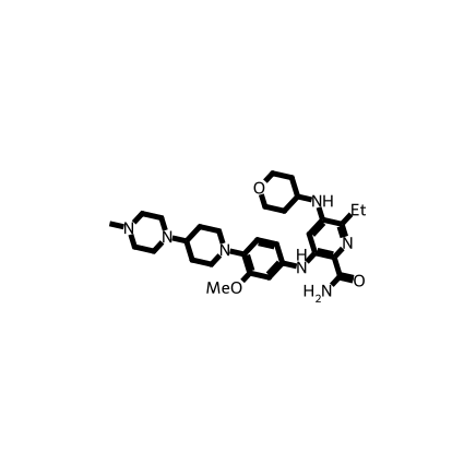 CCc1nc(C(N)=O)c(Nc2ccc(N3CCC(N4CCN(C)CC4)CC3)c(OC)c2)cc1NC1CCOCC1